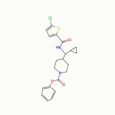 O=C(NC(C1CC1)C1CCN(C(=O)Oc2ccccc2)CC1)c1ccc(Cl)s1